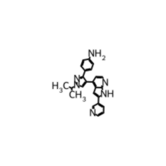 CC(C)n1cc(-c2ccnc3[nH]c(-c4cccnc4)cc23)c(-c2ccc(N)cc2)n1